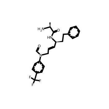 C[C@H](N)C(=O)N[C@H](/C=C/CN(C=O)c1ccc(C(F)(F)F)cc1)CCc1ccccc1